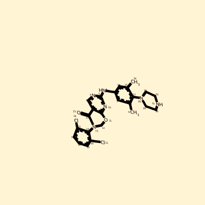 Cc1cc(Nc2ncc3c(n2)OCN(c2c(Cl)cccc2Cl)C3=O)cc(C)c1N1CCNCC1